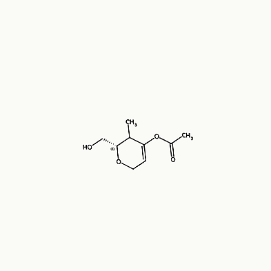 CC(=O)OC1=CCO[C@H](CO)C1C